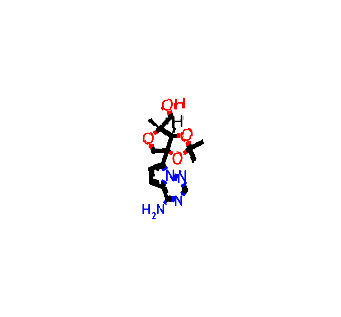 CC1(C)O[C@H]2C(c3ccc4c(N)ncnn34)(CO[C@]2(C)CO)O1